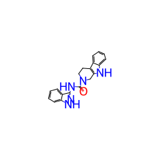 O=C(Nc1n[nH]c2ccccc12)N1CCc2c([nH]c3ccccc23)C1